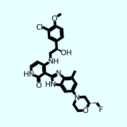 COc1ccc([C@@H](O)CNc2cc[nH]c(=O)c2-c2nc3c(C)cc(N4CCO[C@@H](CF)C4)cc3[nH]2)cc1Cl